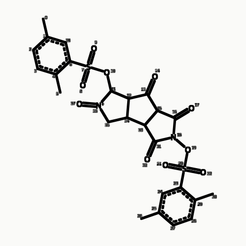 Cc1ccc(C)c(S(=O)(=O)OC2C3C(=O)C4C(=O)N(OS(=O)(=O)c5cc(C)ccc5C)C(=O)C4C3C[N+]2=O)c1